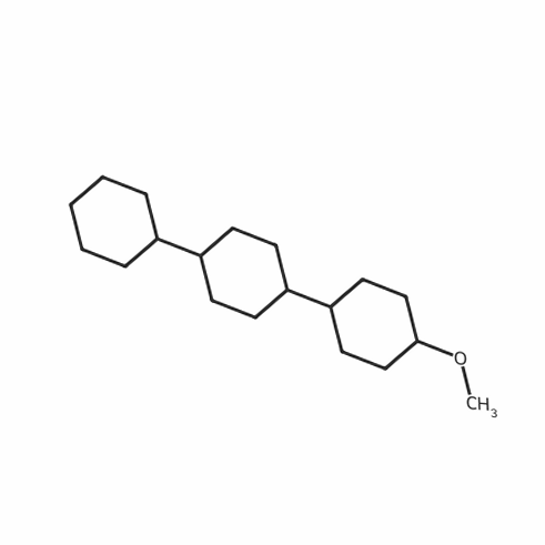 COC1CCC(C2CCC(C3CCCCC3)CC2)CC1